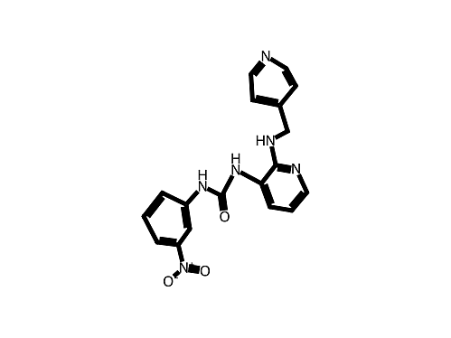 O=C(Nc1cccc([N+](=O)[O-])c1)Nc1cccnc1NCc1ccncc1